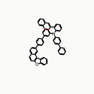 c1ccc(-c2ccc(N(c3cccc(-c4ccc(-c5ccc6ccc7oc8ccccc8c7c6c5)cc4)c3)c3ccccc3-c3ccc4ccccc4c3)cc2)cc1